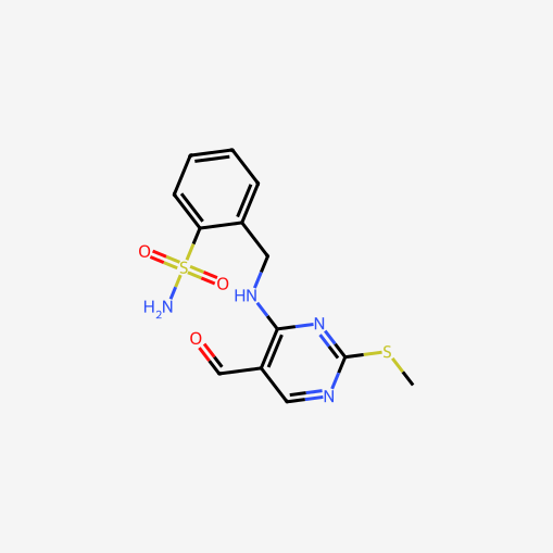 CSc1ncc(C=O)c(NCc2ccccc2S(N)(=O)=O)n1